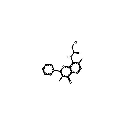 Cc1ccc2c(=O)c(C)c(-c3ccccc3)oc2c1NC(=O)CCl